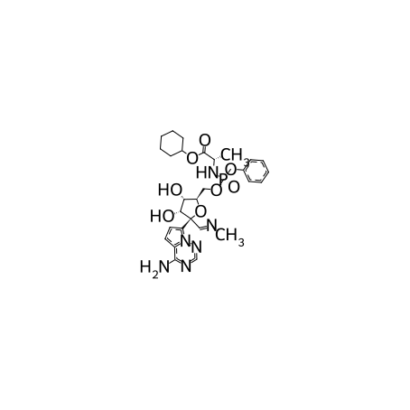 CN=C[C@@]1(c2ccc3c(N)ncnn23)O[C@H](COP(=O)(N[C@@H](C)C(=O)OC2CCCCC2)Oc2ccccc2)[C@@H](O)[C@H]1O